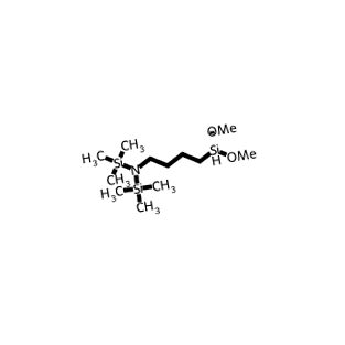 CO[SiH](CCCCN([Si](C)(C)C)[Si](C)(C)C)OC